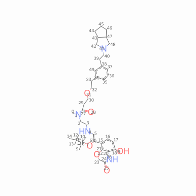 CN(CCNC[C@H](O[Si](C)(C)C(C)(C)C)c1ccc(O)c2c1OCC(=O)N2)C(=O)CCOCCc1cccc(CCN2CC3CCCC3C2)c1